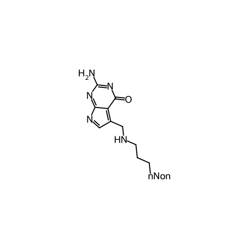 CCCCCCCCCCCCNCC1=C2C(=O)N=C(N)N=C2N=C1